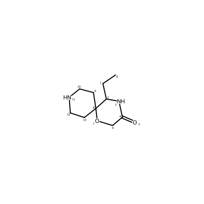 CCC1NC(=O)COC12CCNCC2